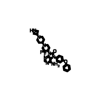 Nc1ncnc2c1n(-c1ccc(Oc3ccccc3)cc1)c(=O)n2[C@@H]1CCN(C2CCN(C3CNC3)CC2)CC1(F)F